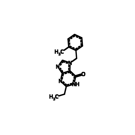 CCc1nc2ncn(Cc3ccccc3C)c2c(=O)[nH]1